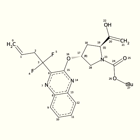 C=CCC(F)(F)c1nc2ccccc2nc1O[C@@H]1C[C@@H](C(=C)O)N(C(=O)OC(C)(C)C)C1